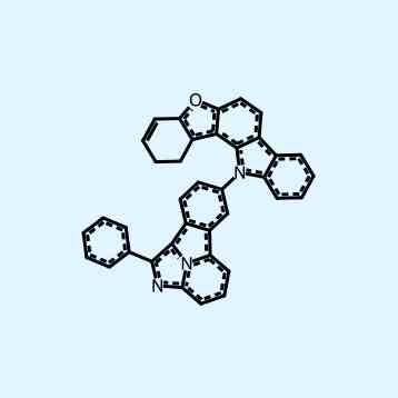 C1=Cc2oc3ccc4c5ccccc5n(-c5ccc6c(c5)c5cccc7nc(-c8ccccc8)c6n75)c4c3c2CC1